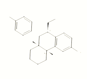 Oc1ccc([C@H]2[C@H]3CCCC[C@H]3c3cc(O)ccc3[C@@H]2CBr)cc1